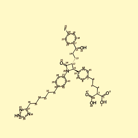 O=C(O)C(CCCc1ccc([C@@H]2[C@@H](CC[C@H](O)c3ccc(F)cc3)C(=O)N2c2ccc(CCCCCCc3nc[nH]n3)cc2)cc1)C(=O)O